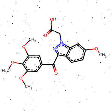 COc1ccc2c(C(=O)c3cc(OC)c(OC)c(OC)c3)nn(CC(=O)O)c2c1